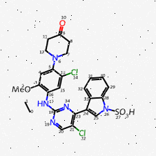 CC.COc1cc(N2CCC(=O)CC2)c(Cl)cc1Nc1ncc(Cl)c(-c2cn(S(=O)(=O)O)c3ccccc23)n1